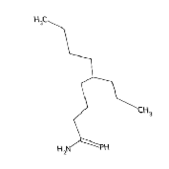 CCCCC(CCC)CCCC(N)=P